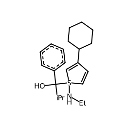 CCNS1(C(O)(c2ccccc2)C(C)C)C=CC(C2CCCCC2)=C1